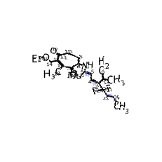 C=C(C)/C(=C\C=C(\NC1CCC(=O)C(COCC)=C(C)C1=O)C(C)CC)C(F)(F)/C=C/C